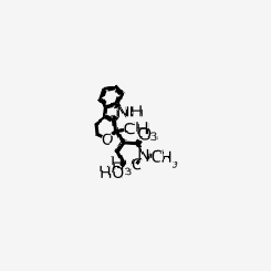 CN(C)C(=O)C(CCO)C1(C)OCCc2c1[nH]c1ccccc21